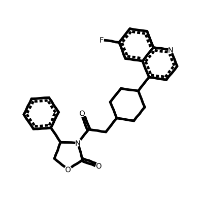 O=C(CC1CCC(c2ccnc3ccc(F)cc23)CC1)N1C(=O)OCC1c1ccccc1